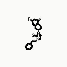 Fc1cc(F)c2c(c1)C[C@@H](n1ccn(CCc3ccccc3)c1=S)CC2